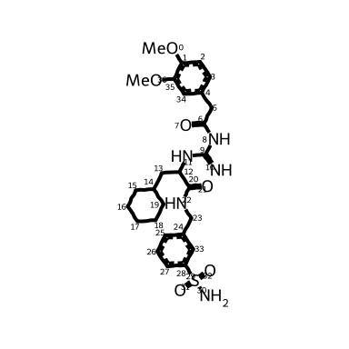 COc1ccc(CC(=O)NC(=N)NC(CC2CCCCC2)C(=O)NCc2cccc(S(N)(=O)=O)c2)cc1OC